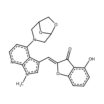 Cn1cc(C=C2Oc3cccc(O)c3C2=O)c2c(N3CC4COC(C3)O4)ccnc21